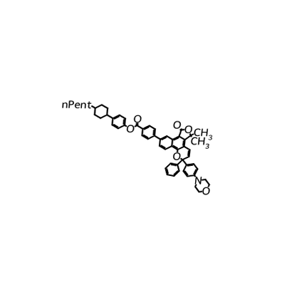 CCCCCC1CCC(c2ccc(OC(=O)c3ccc(-c4ccc5c6c(c7c(c5c4)C(=O)OC7(C)C)C=CC(c4ccccc4)(c4ccc(N5CCOCC5)cc4)O6)cc3)cc2)CC1